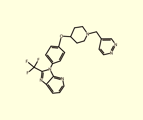 FC(F)(F)c1nc2cccnc2n1-c1ccc(OC2CCN(Cc3ccnnc3)CC2)cc1